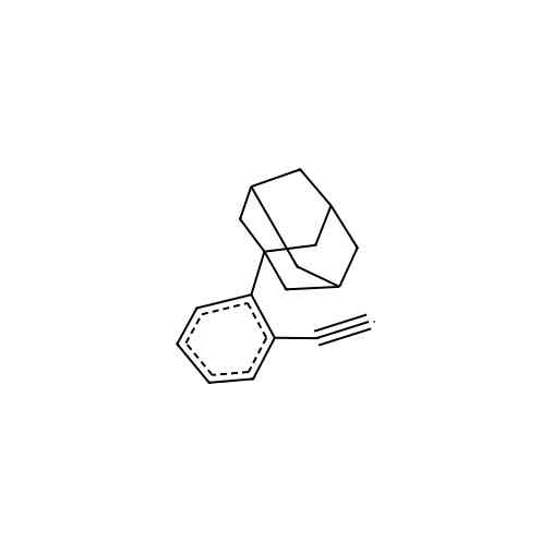 [C]#Cc1ccccc1C12CC3CC(CC(C3)C1)C2